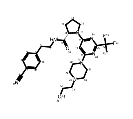 N#Cc1ccc(CCNC(=O)[C@@H]2CCCN2c2cc(N3CCN(CCO)CC3)nc(C(F)(F)F)n2)cc1